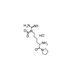 Cl.N=C(N)N(CCCCC(N)C(=O)N1CCCC1)[N+](=O)[O-]